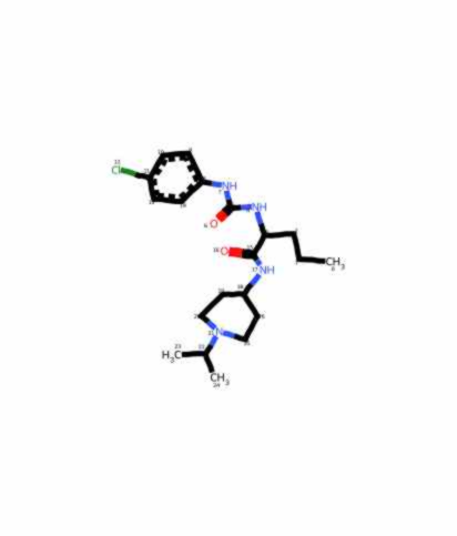 CCCC(NC(=O)Nc1ccc(Cl)cc1)C(=O)NC1CCN(C(C)C)CC1